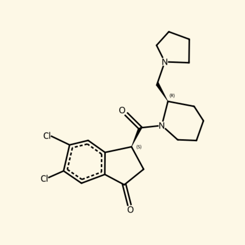 O=C1C[C@H](C(=O)N2CCCC[C@@H]2CN2CCCC2)c2cc(Cl)c(Cl)cc21